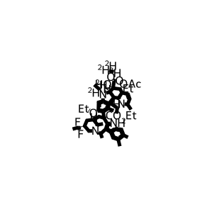 [2H]C([2H])([2H])OC(=O)[C@]1(O)[C@@H]2N(C([2H])([2H])C)c3cc(OCC)c([C@@]4(C(=O)OCC)C[C@@H]5C[C@@H](C(C)(F)F)CN(C(C)c6c4[nH]c4cc(C)c(C)cc64)C5C)c(C)c3C23[C@H](C)C(C)N2C(C)C=C[C@](CC)([C@H]23)[C@H]1OC(C)=O